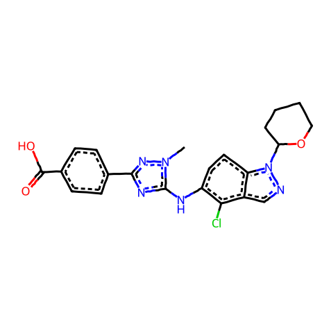 Cn1nc(-c2ccc(C(=O)O)cc2)nc1Nc1ccc2c(cnn2C2CCCCO2)c1Cl